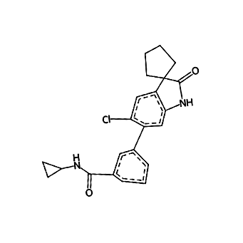 O=C(NC1CC1)c1cccc(-c2cc3c(cc2Cl)C2(CCCC2)C(=O)N3)c1